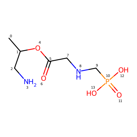 CC(CN)OC(=O)CNCP(=O)(O)O